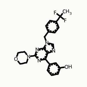 CC(F)(F)c1ccc(Cn2cnc3c(-c4cccc(O)c4)nc(N4CCOCC4)nc32)cc1